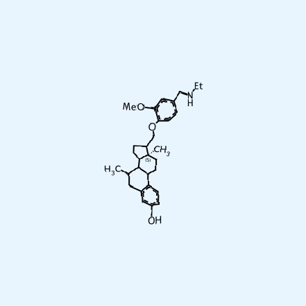 CCNCc1ccc(OCC2CCC3C4C(C)Cc5cc(O)ccc5C4CC[C@]23C)c(OC)c1